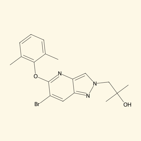 Cc1cccc(C)c1Oc1nc2cn(CC(C)(C)O)nc2cc1Br